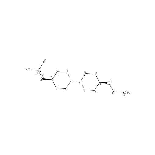 CCCCCCCCCCCO[C@H]1CC[C@H]([C@H]2CC[C@H](C=C(F)F)CC2)CC1